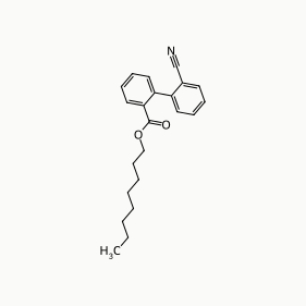 CCCCCCCCOC(=O)c1ccccc1-c1ccccc1C#N